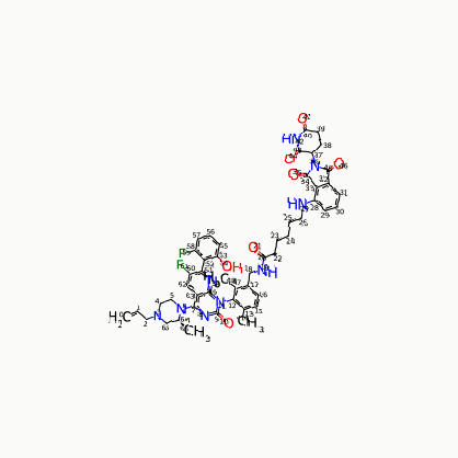 C=CCN1CCN(c2nc(=O)n(-c3c(C)ccc(CNC(=O)CCCCCNc4cccc5c4C(=O)N(C4CCC(=O)NC4=O)C5=O)c3C)c3nc(-c4c(O)cccc4F)c(F)cc23)[C@@H](C)C1